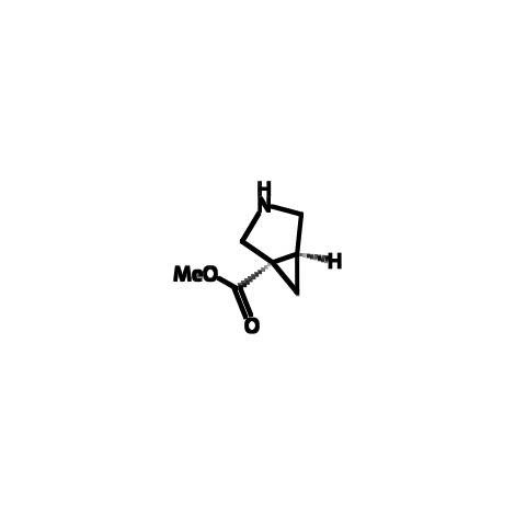 COC(=O)[C@]12CNC[C@H]1C2